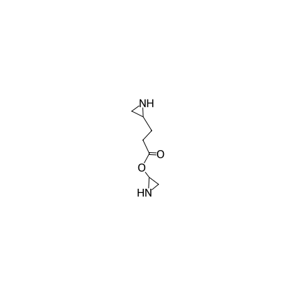 O=C(CCC1CN1)OC1CN1